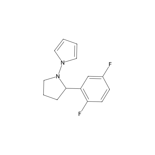 Fc1ccc(F)c(C2CCCN2n2cccc2)c1